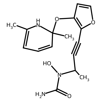 CC1=CC=CC(C)(Oc2ccoc2C#CC(C)N(O)C(N)=O)N1